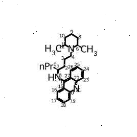 CCC[C@@H](CCCN1[C@H](C)CCC[C@@H]1C)Nc1c2ccccc2nc2ccccc12